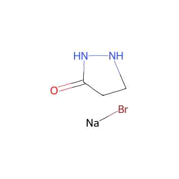 O=C1CCNN1.[Na][Br]